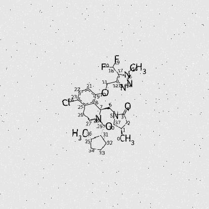 C[C@@H]1CC(=O)N(C[C@@H]2c3c(OCc4nnn(C)c4C(F)F)ccc(Cl)c3CCN2C(=O)[C@@H]2CCC[C@@H]2C)C1